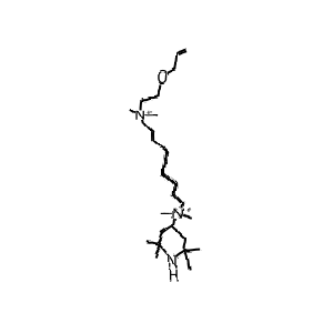 C=CCOCC[N+](C)(C)CCCCCCCC[N+](C)(C)C1CC(C)(C)NC(C)(C)C1